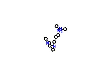 c1ccc(-c2ccc3c(ccc4c5ccccc5nc(-c5ccc(-c6ccc7cc(-c8nc(-c9ccccc9)nc(-c9ccccc9)n8)ccc7c6)cc5)c34)n2)cc1